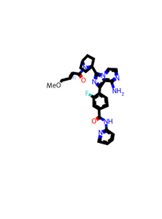 COC/C=C/C(=O)N1C2CCC1(c1nc(-c3ccc(C(=O)Nc4ccccn4)cc3F)c3c(N)nccn13)CC2